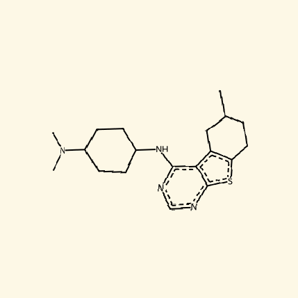 CC1CCc2sc3ncnc(NC4CCC(N(C)C)CC4)c3c2C1